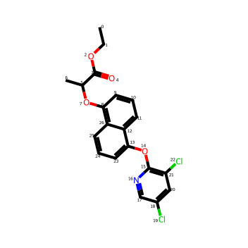 CCOC(=O)C(C)Oc1cccc2c(Oc3ncc(Cl)cc3Cl)cccc12